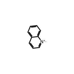 C1=Cc2ccccc2[N+]=C1